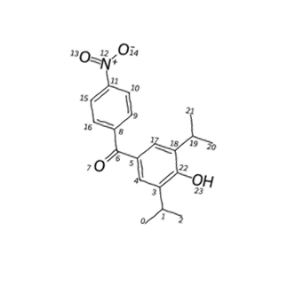 CC(C)c1cc(C(=O)c2ccc([N+](=O)[O-])cc2)cc(C(C)C)c1O